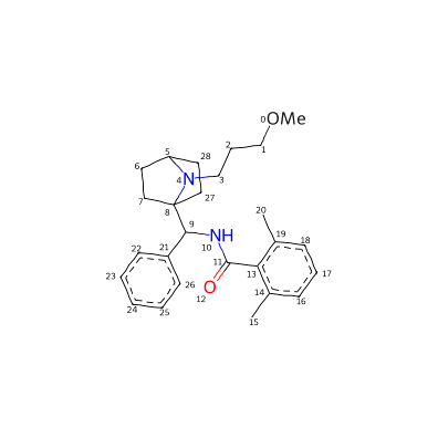 COCCCN1C2CCC1(C(NC(=O)c1c(C)cccc1C)c1ccccc1)CC2